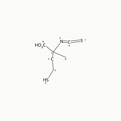 CC(CCS)(N=C=S)C(=O)O